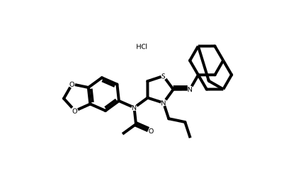 CCCN1C(=NC23CC4CC(CC(C4)C2)C3)SCC1N(C(C)=O)c1ccc2c(c1)OCO2.Cl